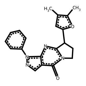 Cc1cc(C2CCn3c2nc2c(cnn2-c2ccccc2)c3=O)oc1C